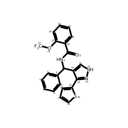 O=C(NC(c1ccccc1)c1c[nH]nc1-c1cccs1)c1ccccc1OC(F)(F)F